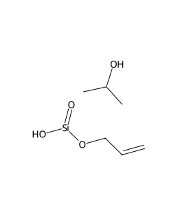 C=CCO[Si](=O)O.CC(C)O